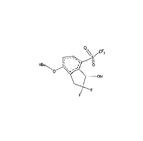 CCCCOc1ccc(S(=O)(=O)C(F)(F)F)c2c1CC(F)(F)[C@H]2O